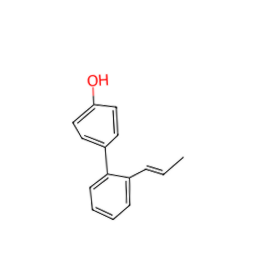 CC=Cc1ccccc1-c1ccc(O)cc1